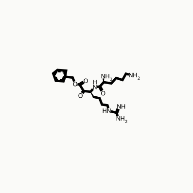 N=C(N)NCCCC[C@H](NC(=O)[C@@H](N)CCCCN)C(=O)C(=O)OCc1ccccc1